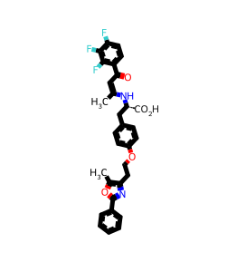 CC(=CC(=O)c1ccc(F)c(F)c1F)N[C@@H](Cc1ccc(OCCc2nc(-c3ccccc3)oc2C)cc1)C(=O)O